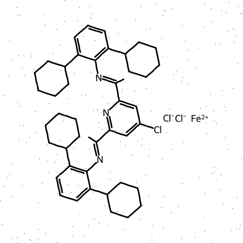 CC(=Nc1c(C2CCCCC2)cccc1C1CCCCC1)c1cc(Cl)cc(C(C)=Nc2c(C3CCCCC3)cccc2C2CCCCC2)n1.[Cl-].[Cl-].[Fe+2]